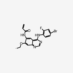 [CH2]COc1cc2ncnc(Nc3ccc(Br)cc3F)c2cc1NC(=O)C=C